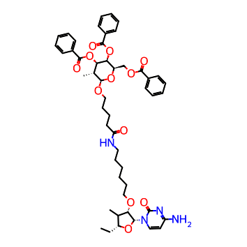 CC[C@H]1O[C@@H](n2ccc(N)nc2=O)[C@@H](OCCCCCCNC(=O)CCCCO[C@@H]2O[C@H](COC(=O)c3ccccc3)[C@H](OC(=O)c3ccccc3)[C@H](OC(=O)c3ccccc3)[C@H]2C)C1C